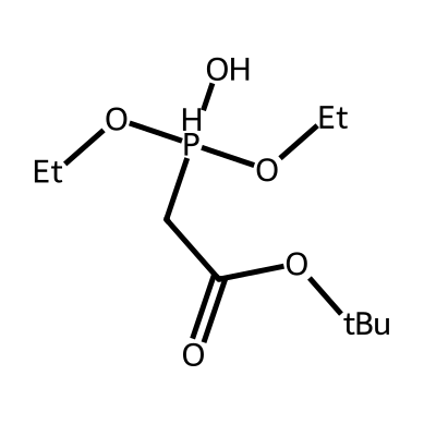 CCO[PH](O)(CC(=O)OC(C)(C)C)OCC